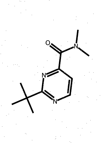 CN(C)C(=O)c1ccnc(C(C)(C)C)n1